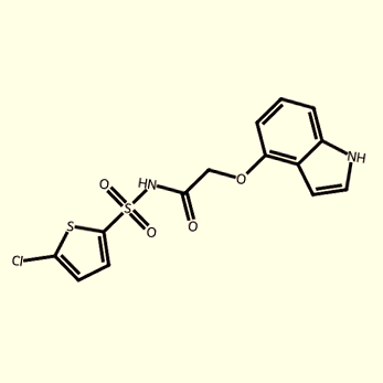 O=C(COc1cccc2[nH]ccc12)NS(=O)(=O)c1ccc(Cl)s1